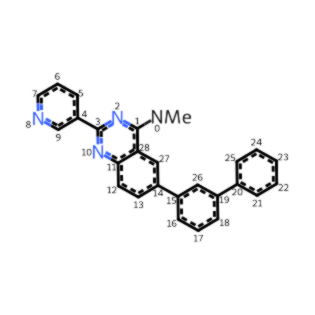 CNc1nc(-c2cccnc2)nc2ccc(-c3cccc(-c4ccccc4)c3)cc12